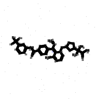 C=N/C(=C1/C(N)=NC=CN1CC1CCC(C(C)(C)C(=O)O)C1)c1ccc(C(=O)Nc2cc(C(F)(F)F)ccn2)cc1